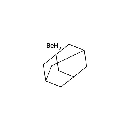 C1C2CC3CC1CC(C2)C3.[BeH2]